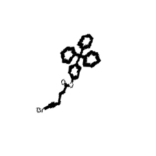 O=C(CCCC#CBr)Oc1ccc(C(c2ccccc2)(c2ccccc2)c2ccccc2)cc1